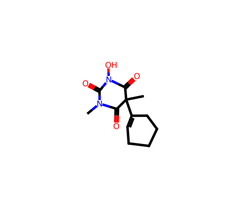 CN1C(=O)N(O)C(=O)C(C)(C2=CCCCC2)C1=O